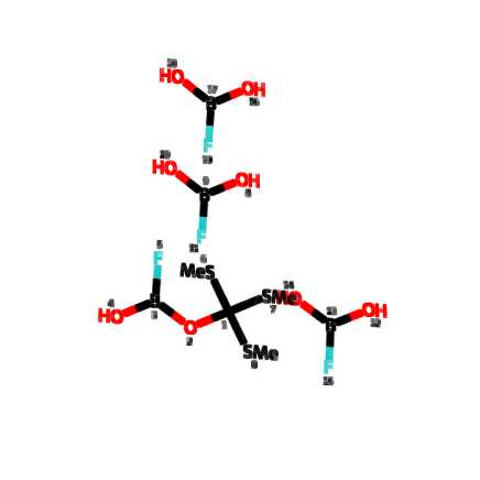 CSC(OB(O)F)(SC)SC.OB(O)F.OB(O)F.OB(O)F